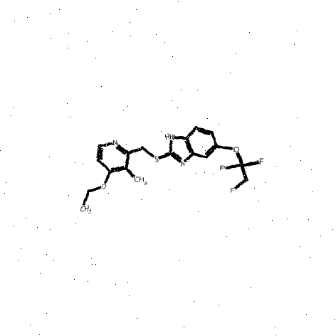 CCOc1ccnc(CSc2nc3cc(OC(F)(F)CF)ccc3[nH]2)c1C